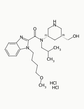 COCCCCn1c(C(=O)N(CC(C)C)[C@@H]2CNC[C@H](CO)C2)nc2ccccc21.Cl.Cl